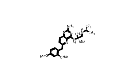 CCCC[C@](C)(CN[C@@H](C)C(F)(F)F)Nc1nc(N)nc2ccc(Cc3ccc(OC)cc3OC)nc12